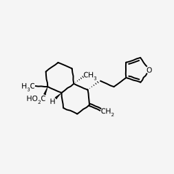 C=C1CC[C@H]2[C@@](C)(CCC[C@]2(C)C(=O)O)[C@@H]1CCc1ccoc1